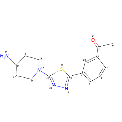 CC(=O)c1cccc(-c2nnc(N3CCC(N)CC3)s2)c1